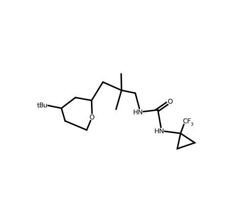 CC(C)(CNC(=O)NC1(C(F)(F)F)CC1)CC1CC(C(C)(C)C)CCO1